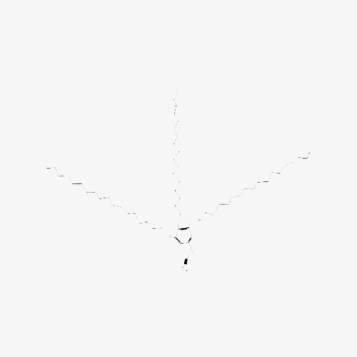 CCCCCCCCCCCCCCCCCCOc1cc(CC#N)cc(OCCCCCCCCCCCCCCCCCC)c1OCCCCCCCCCCCCCCCCCC